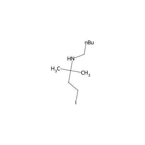 CCCCCNC(C)(C)CCI